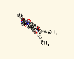 CCCCCCCCCC(CCCCCCCCC)N1C(=O)c2ccc3c4ccc5c6c(ccc(c7ccc(c2c37)C1=O)c64)C(=O)N(c1ccc(OCc2ccccc2)c2ncccc12)C5=O